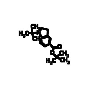 CC(C)(C)OC(=O)c1ccc2c(c1)CCN2C(C)(C)C